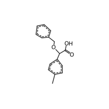 Cc1ccc(C(OCc2ccccc2)C(=O)O)cc1